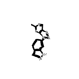 Cc1ncc2nnn(-c3ccc4cn[nH]c4c3)c2n1